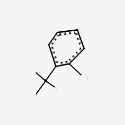 CC(F)(F)c1ccccc1C(F)(F)F